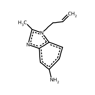 C=CCn1c(C)nc2cc(N)ccc21